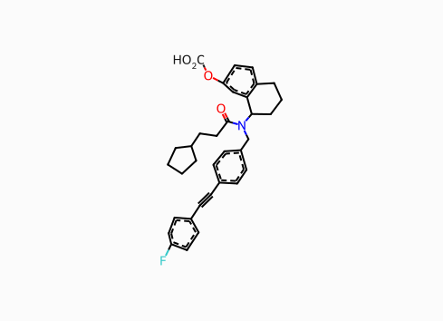 O=C(O)Oc1ccc2c(c1)C(N(Cc1ccc(C#Cc3ccc(F)cc3)cc1)C(=O)CCC1CCCC1)CCC2